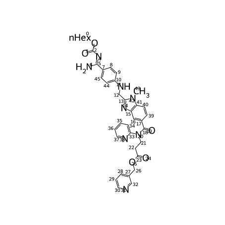 CCCCCCOC(=O)/N=C(\N)c1ccc(NCc2nc3cc(C(=O)N(CCC(=O)OCc4cccnc4)c4ccccn4)ccc3n2C)cc1